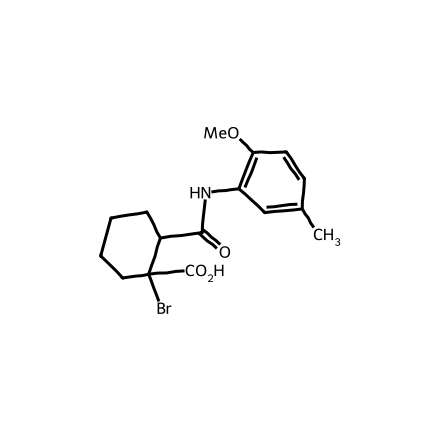 COc1ccc(C)cc1NC(=O)C1CCCCC1(Br)C(=O)O